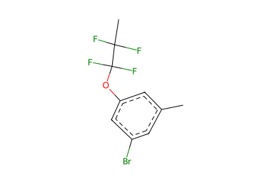 Cc1cc(Br)cc(OC(F)(F)C(C)(F)F)c1